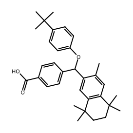 Cc1cc2c(cc1C(Oc1ccc(C(C)(C)C)cc1)c1ccc(C(=O)O)cc1)C(C)(C)CCC2(C)C